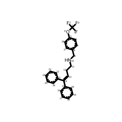 FC(F)(F)Oc1ccc(CNCCC=C(c2ccccc2)c2ccccc2)cc1